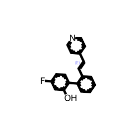 Oc1cc(F)ccc1-c1ccccc1/C=C/c1ccncc1